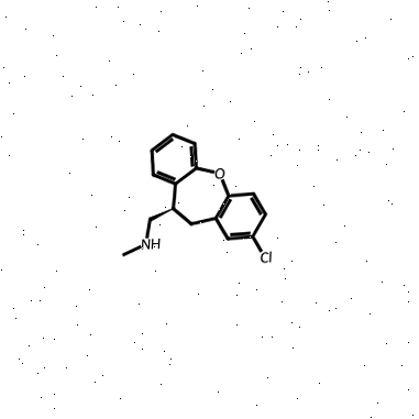 CNC[C@@H]1Cc2cc(Cl)ccc2Oc2ccccc21